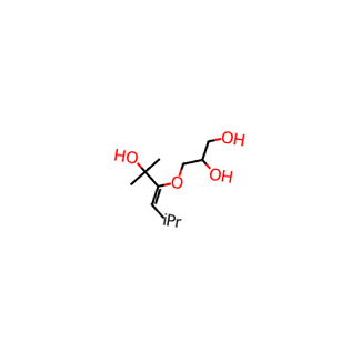 CC(C)C=C(OCC(O)CO)C(C)(C)O